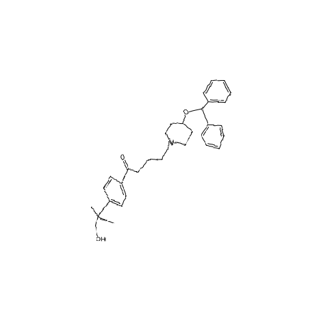 CC(C)(CO)c1ccc(C(=O)CCCN2CCC(OC(c3ccccc3)c3ccccc3)CC2)cc1